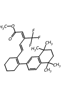 COC(=O)/C=C(\C=C\C1=C(c2ccc3c(c2)C(C)(C)CCC3(C)C)CCCC1)C(F)(F)F